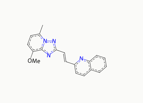 COc1ccc(C)n2nc(C=Cc3ccc4ccccc4n3)nc12